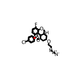 [N-]=[N+]=NCCO[C@@H]1CC[C@@]2(S(=O)(=O)c3ccc(Cl)cc3)c3c(F)ccc(F)c3OC[C@H]2C1